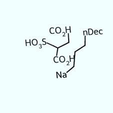 CCCCCCCCCCCC[CH2][Na].O=C(O)CC(C(=O)O)S(=O)(=O)O